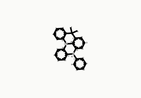 CC1(C)c2ccccc2N2c3ccccc3N(c3ccccc3)c3cccc1c32